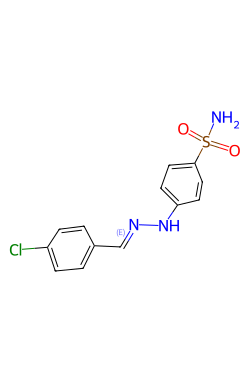 NS(=O)(=O)c1ccc(N/N=C/c2ccc(Cl)cc2)cc1